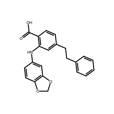 O=C(O)c1ccc(CCc2ccccc2)cc1Nc1ccc2c(c1)OCO2